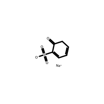 O=C1CC=CC=C1S(=O)(=O)[O-].[Na+]